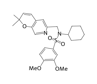 COc1ccc(S(=O)(=O)N(Cc2cc3c(cn2)OC(C)(C)C=C3)C2CCCCC2)cc1OC